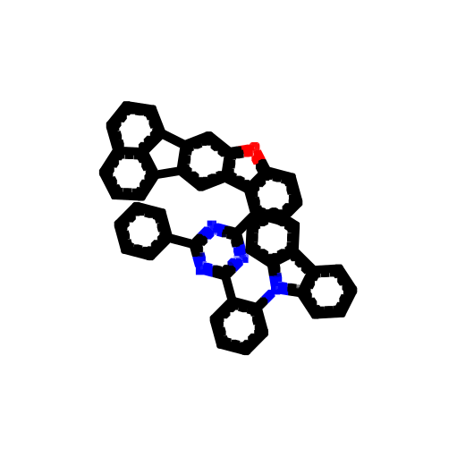 c1ccc(-c2nc(-c3ccccc3-n3c4ccccc4c4ccccc43)nc(-c3cccc4oc5cc6c(cc5c34)-c3cccc4cccc-6c34)n2)cc1